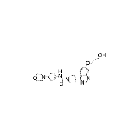 O=C(Nc1ccc(N2CCOCC2)cc1)N1CCC(c2ncnc3cc(OCCCO)ccc23)CC1